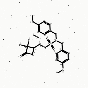 CC[C@H](CS(=O)(=O)N(Cc1ccc(OC)cc1)Cc1ccc(OC)cc1)C1CC(=O)C1(Cl)Cl